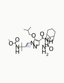 COC(=O)NC(C)(C)/C=C/n1ncc(C(=O)N[C@H]2C3CCCC2C[C@@H](C(N)=O)C3)c1OCC(C)C